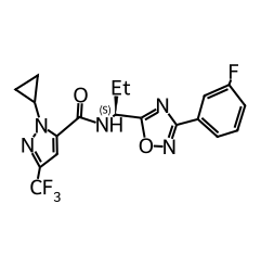 CC[C@H](NC(=O)c1cc(C(F)(F)F)nn1C1CC1)c1nc(-c2cccc(F)c2)no1